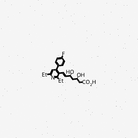 CCc1cc(-c2ccc(F)cc2)c(/C=C/[C@H](O)C[C@H](O)CC(=O)O)c(CC)n1